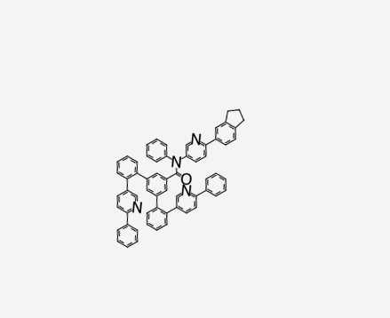 O=C(c1cc(-c2ccccc2-c2ccc(-c3ccccc3)nc2)cc(-c2ccccc2-c2ccc(-c3ccccc3)nc2)c1)N(c1ccccc1)c1ccc(-c2ccc3c(c2)CCC3)nc1